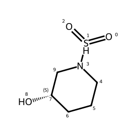 O=[SH](=O)N1CCC[C@H](O)C1